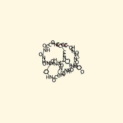 CC[C@@H]1NC(=O)C2[C@@H]3CCN2C(=O)[C@@H]2Cc4cn(c5ccc(F)cc45)CCCCCCN(Cc4ccc(cc4)CCNC(=O)[C@@H]4CCCN4C(=O)[C@H](Cc4ccc(OC)cc4)NC1=O)C(=O)CCC(=O)N[C@@H](C)C(=O)NCC(=O)N[C@@H](Cc1cccc(c1)CNC(=O)CO3)C(=O)N2